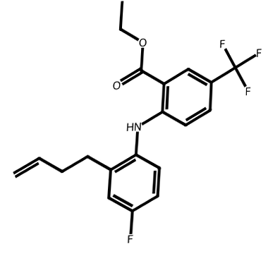 C=CCCc1cc(F)ccc1Nc1ccc(C(F)(F)F)cc1C(=O)OCC